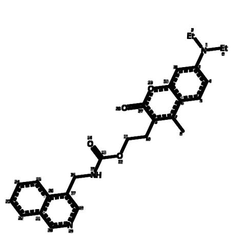 CCN(CC)c1ccc2c(C)c(CCOC(=O)NCc3cncc4ccccc34)c(=O)oc2c1